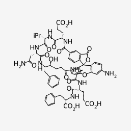 CC(C)[C@H](NC(=O)[C@H](CCC(=O)O)NC(=O)c1ccc2c(c1)C(=O)OC21c2ccccc2Oc2cc(N)ccc21)C(=O)N[C@@H](CC(N)=O)C(=O)N[C@@H](Cc1ccccc1)[C@@H](O)CCC(=O)N[C@@H](C)C(=O)N[C@@H](CCC(=O)O)C(=O)N[C@@H](Cc1ccccc1)C(=O)O